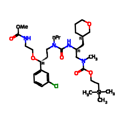 CCCN(CC[C@@H](OCCNC(=O)OC)c1cccc(Cl)c1)C(=O)N[C@@H](C[C@H]1CCCOC1)CN(C)C(=O)OCC[Si](C)(C)C